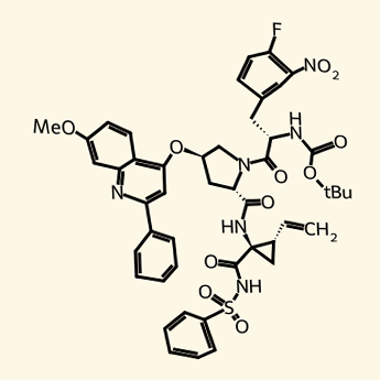 C=C[C@@H]1C[C@]1(NC(=O)[C@@H]1C[C@@H](Oc2cc(-c3ccccc3)nc3cc(OC)ccc23)CN1C(=O)[C@H](Cc1ccc(F)c([N+](=O)[O-])c1)NC(=O)OC(C)(C)C)C(=O)NS(=O)(=O)c1ccccc1